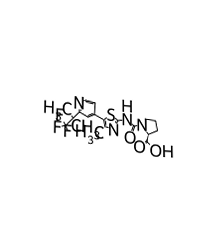 Cc1nc(NC(=O)N2CCC[C@H]2C(=O)O)sc1-c1ccnc(C(C)(C)C(F)(F)F)c1